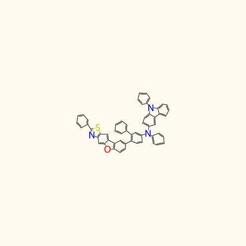 c1ccc(-c2nc3cc4oc5ccc(-c6ccc(N(c7ccccc7)c7ccc8c(c7)c7ccccc7n8-c7ccccc7)cc6-c6ccccc6)cc5c4cc3s2)cc1